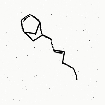 CCCC=CCC1CC2C=CC1C2